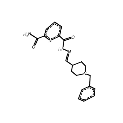 NC(=O)c1cccc(C(=O)NN=CC2CCN(Cc3ccccc3)CC2)n1